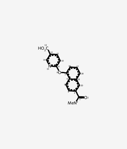 CNC(=O)c1ccc2c(Oc3ccc(C(=O)O)cn3)cccc2c1